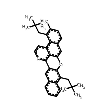 Cc1ccc2cc3c4c(nccc4c2c1CC(C)(C)C)-c1cc2ccccc2c(CC(C)(C)C)c1O3